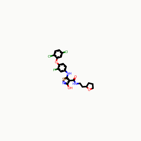 O=C(NCCC1CCCO1)c1c(O)nsc1Nc1ccc(Oc2cc(Cl)ccc2Cl)c(F)c1